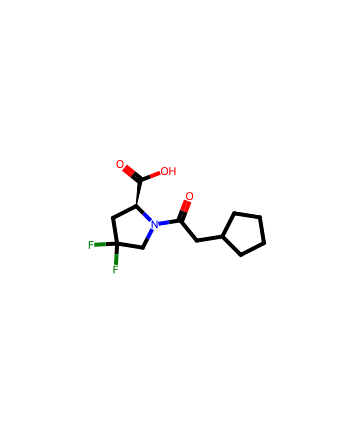 O=C(O)[C@@H]1CC(F)(F)CN1C(=O)CC1CCCC1